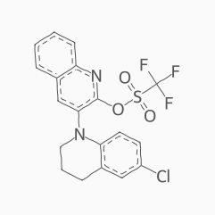 O=S(=O)(Oc1nc2ccccc2cc1N1CCCc2cc(Cl)ccc21)C(F)(F)F